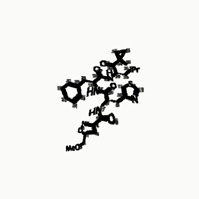 COCc1cc(C(=O)N[C@@H](Cc2cscn2)C(=O)N[C@@H](Cc2ccccc2)C(=O)N[C@@H](CC(C)C)C(=O)C2(C)CC2)no1